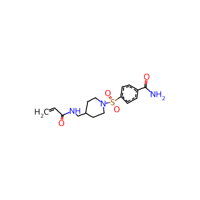 C=CC(=O)NCC1CCN(S(=O)(=O)c2ccc(C(N)=O)cc2)CC1